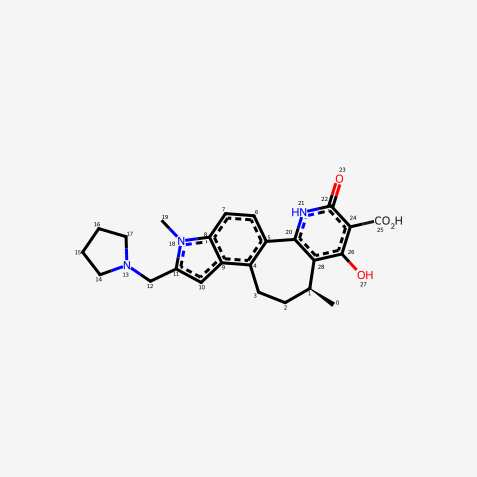 C[C@H]1CCc2c(ccc3c2cc(CN2CCCC2)n3C)-c2[nH]c(=O)c(C(=O)O)c(O)c21